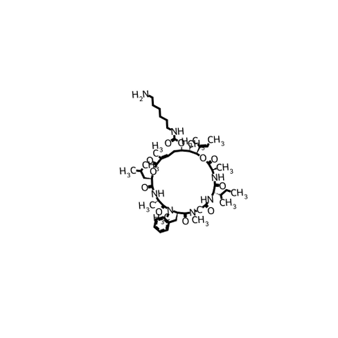 C/C=C(\C)[C@H]1OC(=O)[C@@H](C)NC(=O)[C@H](C(C)CC)NC(=O)CN(C)C(=O)[C@@H](Cc2ccccc2)N(C)C(=O)[C@H](C)NC(=O)[C@@H](CC(C)C)OC(=O)/C(C)=C/C[C@H](OC(=O)NCCCCCCN)[C@@H]1C